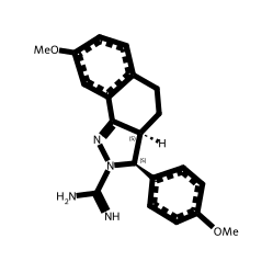 COc1ccc([C@@H]2[C@@H]3CCc4ccc(OC)cc4C3=NN2C(=N)N)cc1